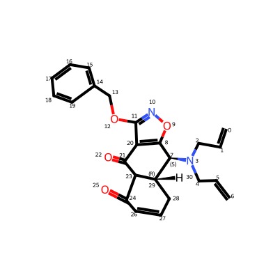 C=CCN(CC=C)[C@@H]1c2onc(OCc3ccccc3)c2C(=O)C2C(=O)C=CC[C@H]21